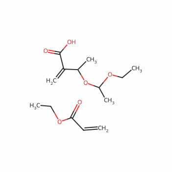 C=C(C(=O)O)C(C)OC(C)OCC.C=CC(=O)OCC